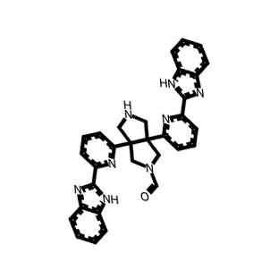 O=CN1CC2(c3cccc(-c4nc5ccccc5[nH]4)n3)CNCC2(c2cccc(-c3nc4ccccc4[nH]3)n2)C1